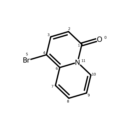 O=c1ccc(Br)c2ccccn12